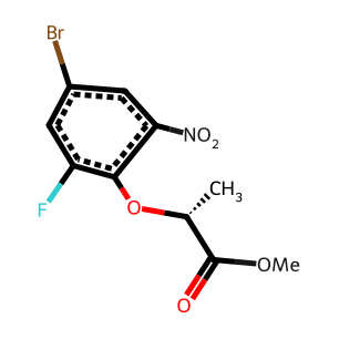 COC(=O)[C@@H](C)Oc1c(F)cc(Br)cc1[N+](=O)[O-]